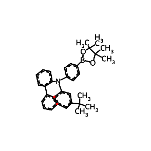 CC(C)(C)c1cccc(N(c2ccc(B3OC(C)(C)C(C)(C)O3)cc2)c2ccccc2-c2ccccc2)c1